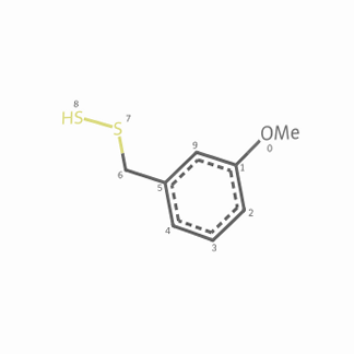 COc1cccc(CSS)c1